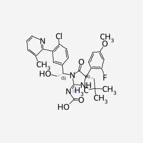 COc1ccc([C@@]2(CC(C)(C)C)N/C(=N\C(=O)O)N([C@H](CO)c3ccc(Cl)c(-c4ncccc4C)c3)C2=O)c(F)c1